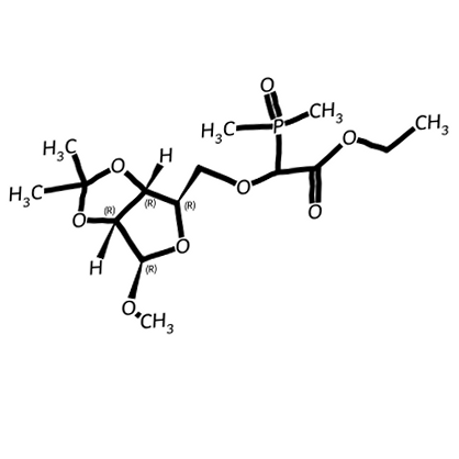 CCOC(=O)C(OC[C@H]1O[C@@H](OC)[C@@H]2OC(C)(C)O[C@@H]21)P(C)(C)=O